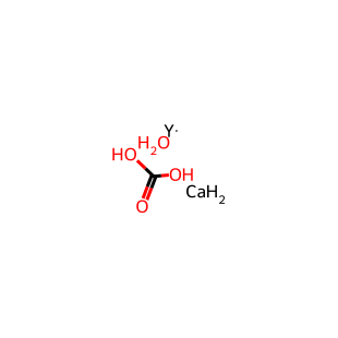 O.O=C(O)O.[CaH2].[Y]